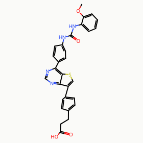 COc1ccccc1NC(=O)Nc1ccc(-c2ncnc3c(-c4ccc(CCC(=O)O)cc4)csc23)cc1